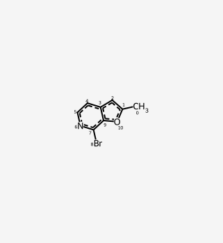 Cc1cc2ccnc(Br)c2o1